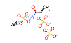 C=CC(N)=O.O=S(=O)([O-])[O-].O=S(=O)([O-])[O-].O=S(=O)([O-])[O-].[Al+3].[Al+3]